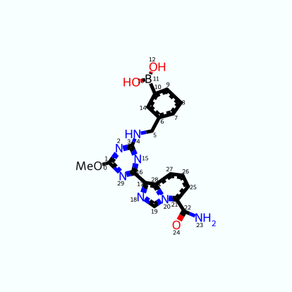 COc1nc(NCc2cccc(B(O)O)c2)nc(-c2ncn3c(C(N)=O)cccc23)n1